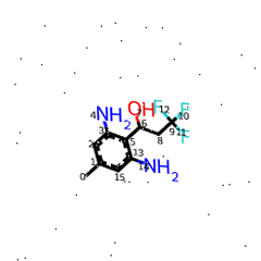 Cc1cc(N)c(C(O)CC(F)(F)F)c(N)c1